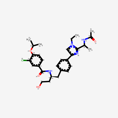 CCn1cc(-c2ccc(C[C@@H](CCO)NC(=O)c3ccc(OC(C)C)c(Cl)c3)cc2)nc1C(C)NC(C)=O